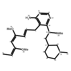 C\C=C(/C=C(\C=C\Cc1c(N)ncnc1N(CC1CCCN(C)C1)NC)OC)OC